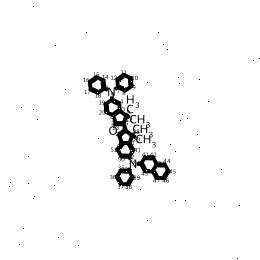 CC1(C)c2cc(N(c3ccccc3)c3ccccc3)ccc2-c2oc3c(c21)C(C)(C)c1cc(N(c2ccccc2)c2ccc4ccccc4c2)ccc1-3